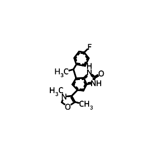 CC1=C(c2cc(C(C)c3ccc(F)cc3)c3[nH]c(=O)[nH]c3c2)N(C)CO1